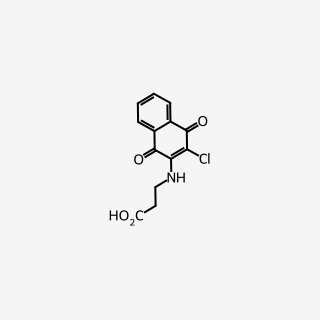 O=C(O)CCNC1=C(Cl)C(=O)c2ccccc2C1=O